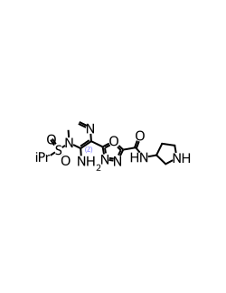 C=N/C(=C(/N)N(C)S(=O)(=O)C(C)C)c1nnc(C(=O)NC2CCNC2)o1